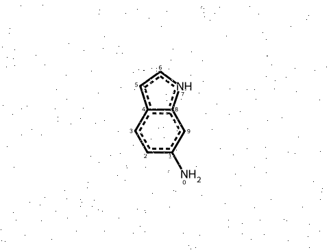 Nc1ccc2[c]c[nH]c2c1